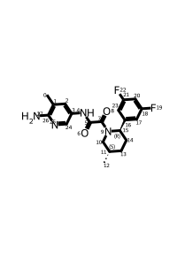 Cc1cc(NC(=O)C(=O)N2C[C@@H](C)CC[C@@H]2c2cc(F)cc(F)c2)cnc1N